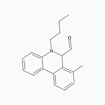 CCCCN1c2ccccc2-c2cccc(C)c2C1C=O